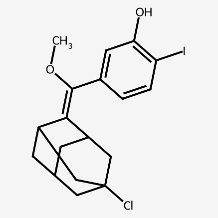 COC(=C1C2CC3CC1CC(Cl)(C3)C2)c1ccc(I)c(O)c1